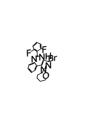 Fc1cccc(F)c1C1=Nc2ccccc2-c2c(c(Br)nn2C2CCCCO2)N1